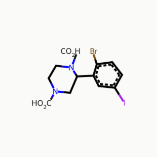 O=C(O)N1CCN(C(=O)O)C(c2cc(I)ccc2Br)C1